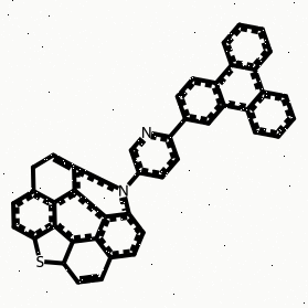 C1=CC2Sc3ccc4c5c3c2c2c1ccc1c2c5c(n1-c1ccc(-c2ccc3c5ccccc5c5ccccc5c3c2)nc1)=CC4